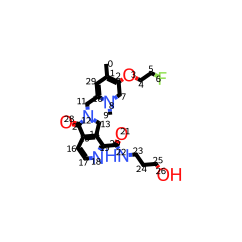 CC1=C(OCCF)CN(C)C(CN2Cc3c(ccnc3C(=O)NCCCO)C2=O)=C1